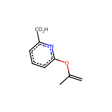 C=C(C)Oc1cccc(C(=O)O)n1